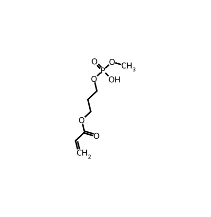 C=CC(=O)OCCCOP(=O)(O)OC